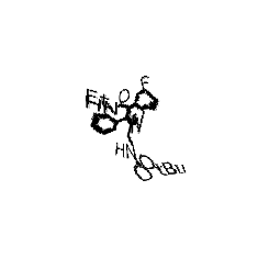 CCNC(=O)c1c(-c2ccccc2)c(CCNC(=O)OC(C)(C)C)nc2ccc(F)cc12